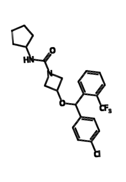 O=C(NC1CCCC1)N1CC(OC(c2ccc(Cl)cc2)c2ccccc2C(F)(F)F)C1